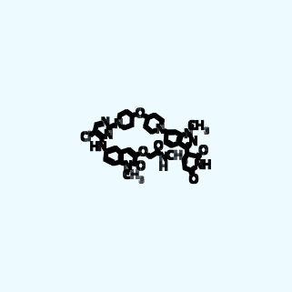 CNC(=O)COc1cc2cc(Nc3nc(N4CCC(OC5CCN(c6ccc7c(C8CCC(=O)NC8=O)nn(C)c7c6)CC5)CC4)ncc3Cl)ccc2n(C)c1=O